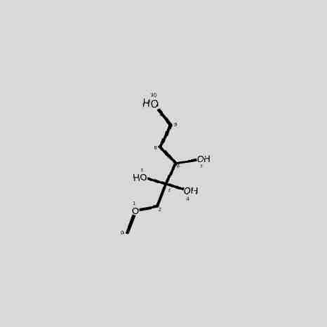 COCC(O)(O)C(O)CCO